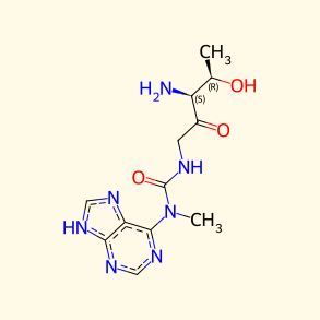 C[C@@H](O)[C@H](N)C(=O)CNC(=O)N(C)c1ncnc2[nH]cnc12